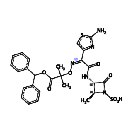 C[C@H]1[C@H](NC(=O)/C(=N\OC(C)(C)C(=O)OC(c2ccccc2)c2ccccc2)c2csc(N)n2)C(=O)N1S(=O)(=O)O